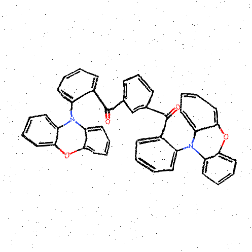 O=C(c1cccc(C(=O)c2ccccc2N2c3ccccc3Oc3ccccc32)c1)c1ccccc1N1c2ccccc2Oc2ccccc21